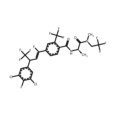 C[C@@H](NC(=O)c1ccc(/C(F)=C/C(c2cc(Cl)c(F)c(Cl)c2)C(F)(F)F)cc1C(F)(F)F)C(=O)N(C)CC(F)(F)F